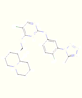 Cc1nnnn1-c1cc(Nc2ncc(Cl)c(NC[C@@H]3CCCN4CCCC[C@H]34)n2)ccc1F